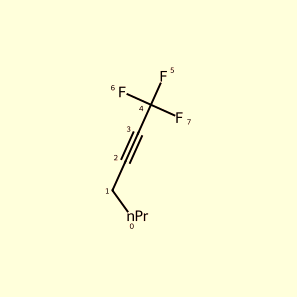 [CH2]CCCC#CC(F)(F)F